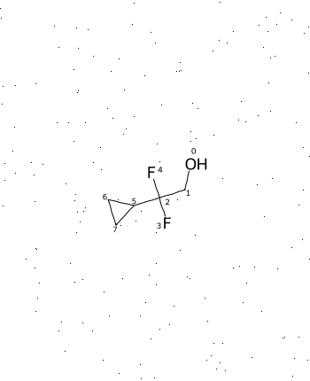 OCC(F)(F)C1CC1